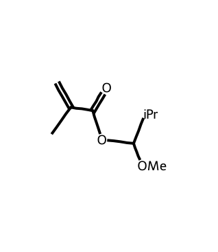 C=C(C)C(=O)OC(OC)C(C)C